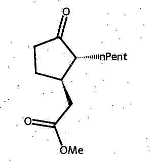 CCCCC[C@H]1C(=O)CC[C@@H]1CC(=O)OC